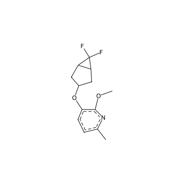 COc1nc(C)ccc1OC1CC2C(C1)C2(F)F